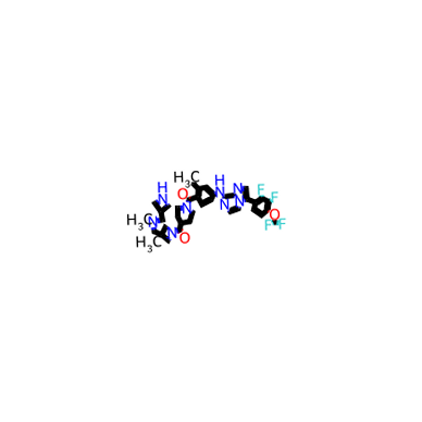 CCc1cc(Nc2nccn3c(-c4ccc(OC(F)F)c(F)c4F)cnc23)ccc1C(=O)N1CCC(C(=O)N2CC(C)(CN(C)CC3CNC3)C2)CC1